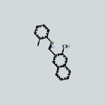 Cc1ccccc1/N=C/c1cc2ccccc2cc1O